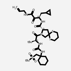 C=CCNC(=O)C(=O)[C@@H](CC1CC1)NC(=O)[C@@H]1CC2(CN1C(=O)[C@@H](NC(=O)NC1(CS(=O)(=O)C(C)(C)C)CCCCC1)C(C)(C)C)SCCCS2